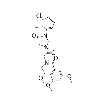 COCCN(CC(=O)N1CC(=O)N(c2cccc(Cl)c2C)C1)C(=O)c1cc(OC)cc(OC)c1